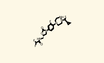 O=C(NC[C@H]1CN(c2ccc(N3CCNN(C(=S)C4CC4)CC3)c(F)c2)C(=O)O1)C(F)F